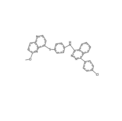 COc1ccc2nccc(Sc3ccc(Nc4nnc(-c5ccc(Cl)cc5)c5ccccc45)cc3)c2n1